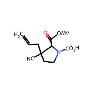 C=CCC1(C#N)CCN(C(=O)O)C1C(=O)OC